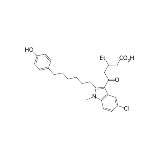 CCC(CC(=O)O)CC(=O)c1c(CCCCCCc2ccc(O)cc2)n(C)c2ccc(Cl)cc12